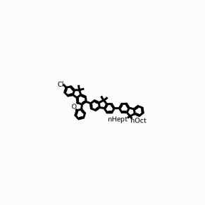 CCCCCCCCC1(CCCCCCC)c2ccccc2-c2ccc(-c3ccc4c(c3)C(C)(C)c3cc(-c5cc6c(c7oc8ccccc8c57)-c5ccc(Cl)cc5C6(C)C)ccc3-4)cc21